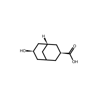 O=C(O)[C@H]1CC2C[C@@H](O)C[C@@H](C2)C1